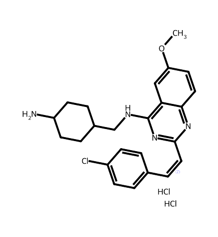 COc1ccc2nc(/C=C\c3ccc(Cl)cc3)nc(NCC3CCC(N)CC3)c2c1.Cl.Cl